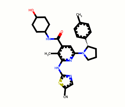 Cc1ccc([C@@H]2CCCN2c2cc(C(=O)NC3CCC(O)CC3)c(C)c(Nc3ncc(C#N)s3)n2)cc1